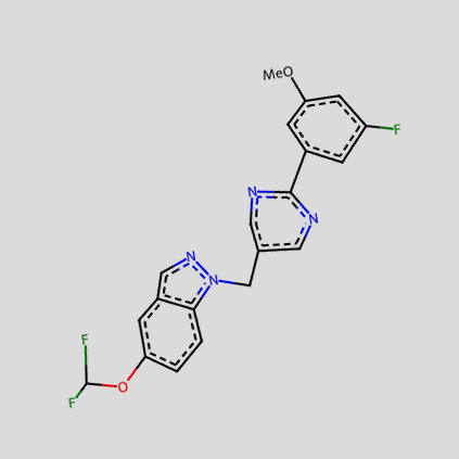 COc1cc(F)cc(-c2ncc(Cn3ncc4cc(OC(F)F)ccc43)cn2)c1